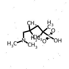 CN(C)CC(C)(C)CC(C)(C)S(=O)(=O)O